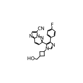 N#Cc1cnc2ccc(-c3c(-c4ccc(F)cc4)ncn3C3CC(CO)C3)nn12